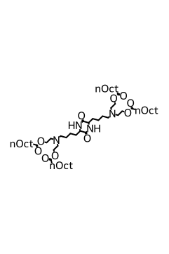 CCCCCCCCC(=O)OCCN(CCCCC1NC(=O)C(CCCCN(CCOC(=O)CCCCCCCC)CCOC(=O)CCCCCCCC)NC1=O)CCOC(=O)CCCCCCCC